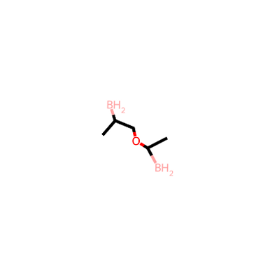 BC(C)COC(B)C